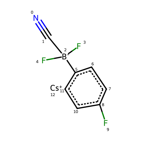 N#C[B-](F)(F)c1ccc(F)cc1.[Cs+]